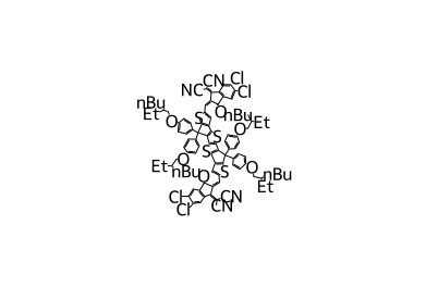 CCCCC(CC)COc1ccc(C2(c3ccc(OCC(CC)CCCC)cc3)c3sc(/C=C4\C(=O)c5cc(Cl)c(Cl)cc5C4=C(C#N)C#N)cc3-c3sc4c5c(sc4c32)-c2cc(/C=C3\C(=O)c4cc(Cl)c(Cl)cc4C3=C(C#N)C#N)sc2C5(c2ccc(OCC(CC)CCCC)cc2)c2ccc(OCC(CC)CCCC)cc2)cc1